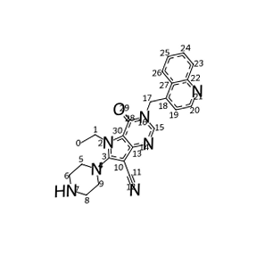 CCn1c(N2CCNCC2)c(C#N)c2ncn(Cc3ccnc4ccccc34)c(=O)c21